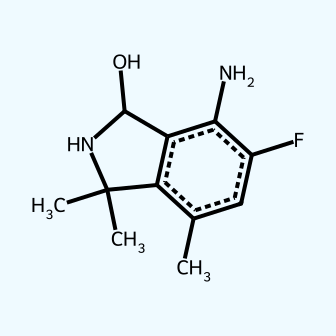 Cc1cc(F)c(N)c2c1C(C)(C)NC2O